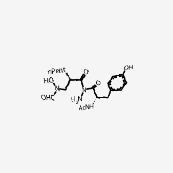 CCCCC[C@H](CN(O)C=O)C(=O)N(N)C(=O)[C@H](Cc1ccc(O)cc1)NC(C)=O